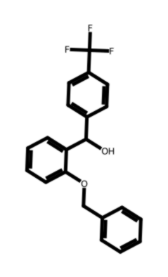 OC(c1ccc(C(F)(F)F)cc1)c1ccccc1OCc1ccccc1